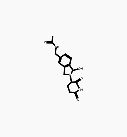 CC(=O)NCc1ccc2c(c1)CN(C1CCC(=O)NC1=O)C2O